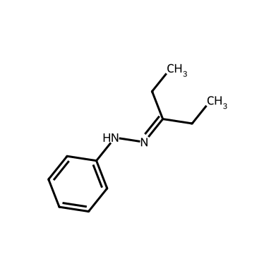 CCC(CC)=NNc1ccccc1